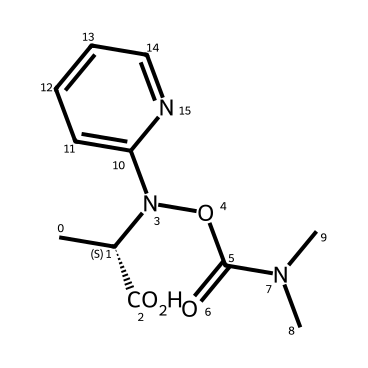 C[C@@H](C(=O)O)N(OC(=O)N(C)C)c1ccccn1